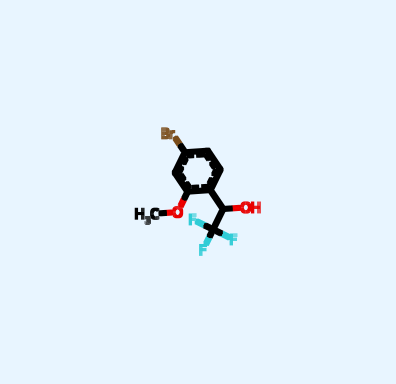 COc1cc(Br)ccc1C(O)C(F)(F)F